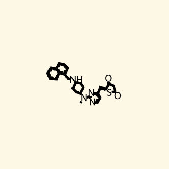 CN(c1nccc(/C=C2\SC(=O)CC2=O)n1)[C@H]1CC[C@H](NCc2cccc3ccccc23)CC1